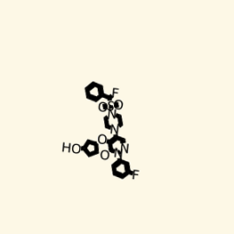 O=c1c(OC2CCC(O)C2)c(N2CCN(S(=O)(=O)C(F)c3ccccc3)CC2)cnn1-c1cccc(F)c1